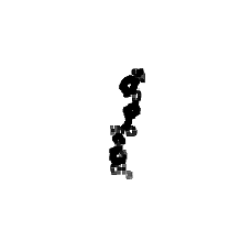 Cc1ccc(N2CC(NC(=O)C3CC(Oc4cccc5scnc45)C3)C2)nc1